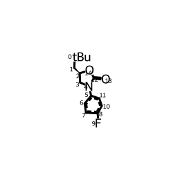 CC(C)(C)C[C@@H]1CN(c2ccc(F)cc2)C(=O)O1